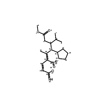 COC(=O)CC(C(C)C)N(/C(C)=C(/C=N\C(=N)Cl)[N+](=O)[O-])C1CCCC1